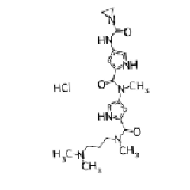 CN(C)CCCN(C)C(=O)c1cc(N(C)C(=O)c2cc(NC(=O)N3CC3)c[nH]2)c[nH]1.Cl